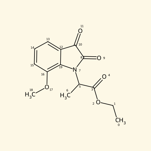 CCOC(=O)C(C)N1C(=O)C(=O)c2cccc(OC)c21